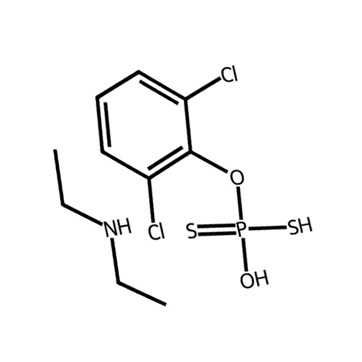 CCNCC.OP(=S)(S)Oc1c(Cl)cccc1Cl